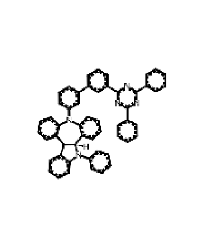 c1ccc(-c2nc(-c3ccccc3)nc(-c3cccc(-c4cccc(N5c6ccccc6C6c7ccccc7N(c7ccccc7)[C@H]6c6ccccc65)c4)c3)n2)cc1